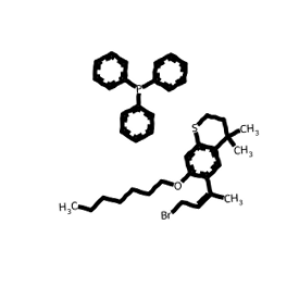 CCCCCCCOc1cc2c(cc1/C(C)=C\CBr)C(C)(C)CCS2.c1ccc(P(c2ccccc2)c2ccccc2)cc1